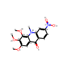 COc1cc2c(=O)c3ccc([N+](=O)[O-])cc3n(C)c2c(OC)c1OC